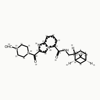 CC1(C)[C@H]2CC[C@@H](CNC(=O)c3cccc4nc(C(=O)N5CCN(C=O)CC5)cn34)[C@@H]1C2